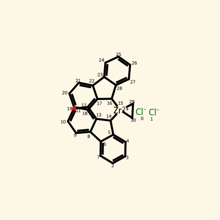 [Cl-].[Cl-].c1ccc2c(c1)-c1ccccc1[CH]2[Zr+2]1([CH]2c3ccccc3-c3ccccc32)[CH2][CH2]1